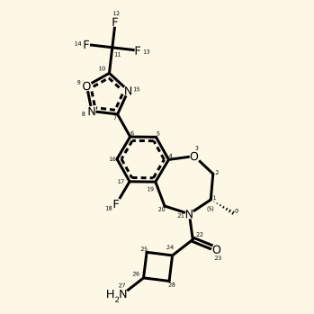 C[C@H]1COc2cc(-c3noc(C(F)(F)F)n3)cc(F)c2CN1C(=O)C1CC(N)C1